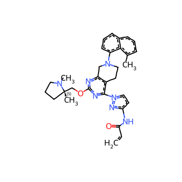 C=CC(=O)Nc1ccn(-c2nc(OC[C@]3(C)CCCN3C)nc3c2CCN(c2cccc4cccc(C)c24)C3)n1